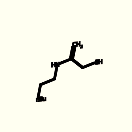 C=C(CS)NCCCCCC